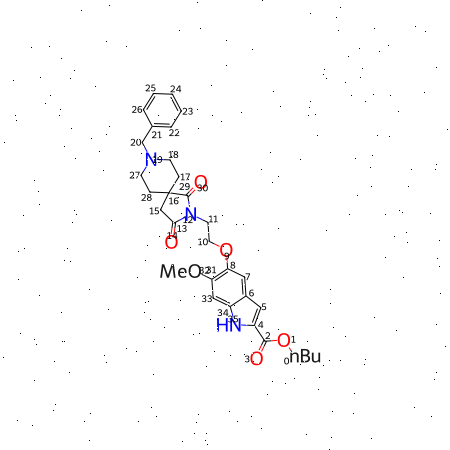 CCCCOC(=O)c1cc2cc(OCCN3C(=O)CC4(CCN(Cc5ccccc5)CC4)C3=O)c(OC)cc2[nH]1